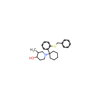 CC1CN(C2(c3ccccc3SCc3ccccc3)CCCCC2)CCC1O